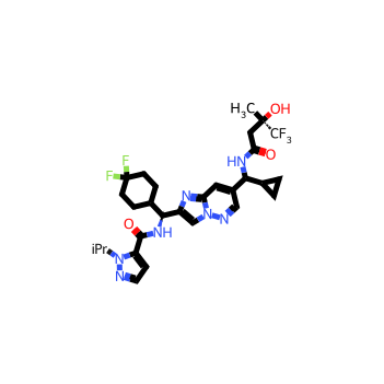 CC(C)n1nccc1C(=O)N[C@H](c1cn2ncc(C(NC(=O)C[C@@](C)(O)C(F)(F)F)C3CC3)cc2n1)C1CCC(F)(F)CC1